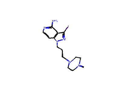 CN1CCN(CCCn2nc(I)c3c(N)nccc32)CC1